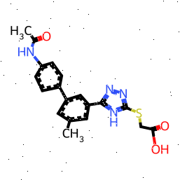 CC(=O)Nc1ccc(-c2cc(C)cc(-c3nnc(SCC(=O)O)[nH]3)c2)cc1